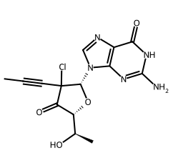 CC#CC1(Cl)C(=O)[C@@H]([C@@H](C)O)O[C@H]1n1cnc2c(=O)[nH]c(N)nc21